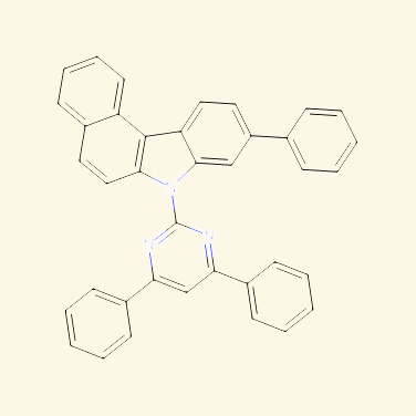 c1ccc(-c2ccc3c4c5ccccc5ccc4n(-c4nc(-c5ccccc5)cc(-c5ccccc5)n4)c3c2)cc1